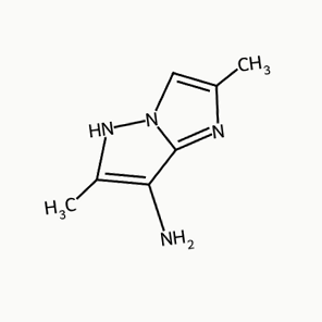 Cc1cn2[nH]c(C)c(N)c2n1